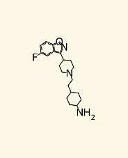 NC1CCC(CCN2CCC(c3noc4ccc(F)cc34)CC2)CC1